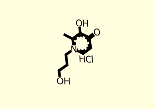 Cc1c(O)c(=O)ccn1CCCO.Cl